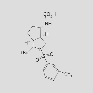 CC(C)(C)C1[C@H]2CC[C@H](NC(=O)O)[C@H]2CN1S(=O)(=O)c1cccc(C(F)(F)F)c1